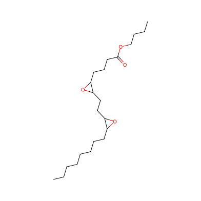 CCCCCCCCC1OC1CCC1OC1CCCC(=O)OCCCC